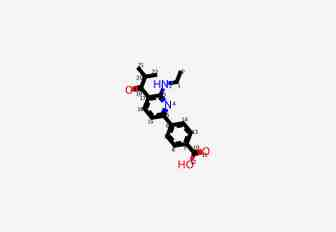 CCNc1nc(-c2ccc(C(=O)O)cc2)ccc1C(=O)C(C)C